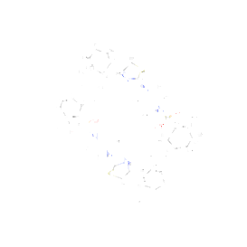 Cc1cc(C)c(C)c(S(=O)(=O)N2CCN(c3nc(-c4c(C)cccc4C)cs3)CC2)c1C.Cc1cccc(-c2csc(N3CCN(S(=O)(=O)c4c(C)c(C)cc(C)c4C)CC3)n2)c1C